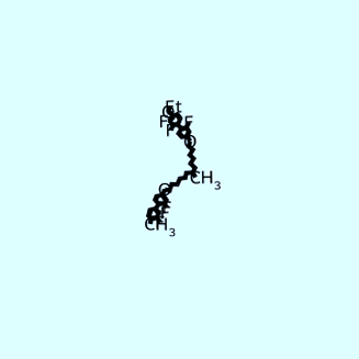 CCOc1ccc(-c2ccc(OCCCCCCC(C)CCCCCCOc3ccc(-c4ccc(C)c(F)c4F)c(F)c3)cc2F)c(F)c1F